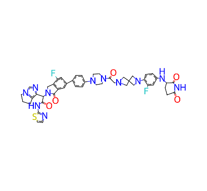 O=C1CCC(Nc2ccc(N3CC4(CN(CC(=O)N5CCN(c6ccc(-c7cc(F)c8c(c7)C(=O)N(C(C(=O)Nc7nccs7)c7ncn9c7CCC9)C8)cc6)CC5)C4)C3)c(F)c2)C(=O)N1